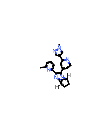 Cc1cccc(-c2nc3n(c2-c2ccnc(-c4cnn(C)c4)c2)[C@@H]2CC[C@@H]3C2)n1